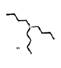 CCC[CH2][Zn]([CH2]CCC)[CH2]CCC.[HH]